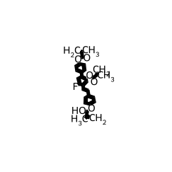 C=C(C)C(=O)Oc1ccc(-c2cc(F)c(/C=C/c3ccc(OC(O)C(=C)C)cc3)cc2OC(=O)C(=C)C)cc1